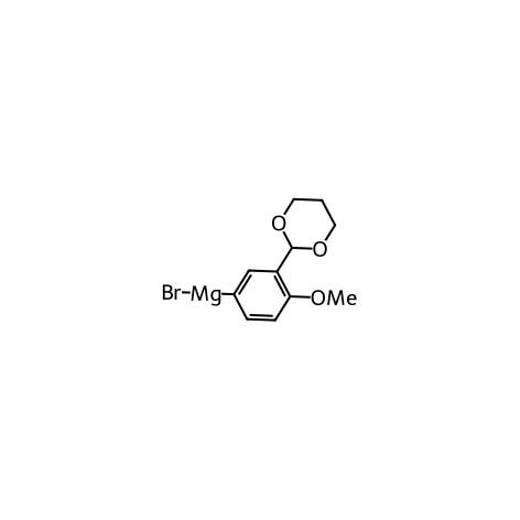 COc1cc[c]([Mg][Br])cc1C1OCCCO1